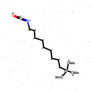 CO[Si](CCCCCCCCCN=C=O)(OC)OC